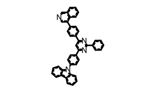 c1ccc(-c2nc(-c3ccc(-c4cncc5ccccc45)cc3)cc(-c3ccc(-n4c5ccccc5c5ccccc54)cc3)n2)cc1